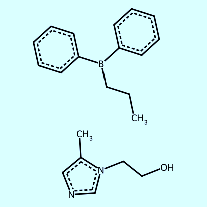 CCCB(c1ccccc1)c1ccccc1.Cc1cncn1CCO